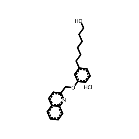 Cl.OCCCCCCc1cccc(OCc2ccc3ccccc3n2)c1